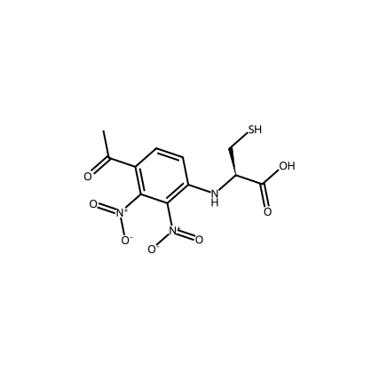 CC(=O)c1ccc(N[C@@H](CS)C(=O)O)c([N+](=O)[O-])c1[N+](=O)[O-]